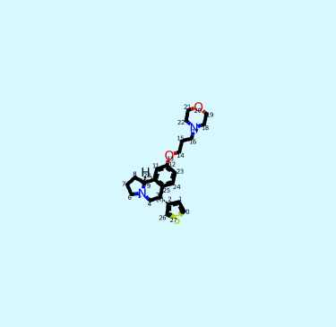 c1cc([C@@H]2CN3CCC[C@H]3c3cc(OCCCN4CCOCC4)ccc32)cs1